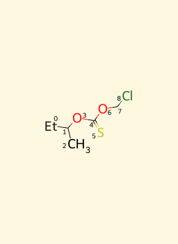 CCC(C)OC(=S)OCCl